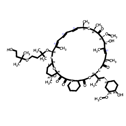 CO[C@@H]1C[C@H](C[C@@H](C)[C@@H]2CC(=O)[C@H](C)/C=C(\C)[C@@H](O)[C@@H](OC)C(=O)[C@H](C)C[C@H](C)/C=C/C=C/C=C(\C)[C@H](OC(C)(C)CCOC(C)(C)CCO)C[C@@H]3CC[C@@H](C)[C@@](O)(O3)C(=O)C(=O)N3CCCCC3C(=O)O2)CC[C@H]1O